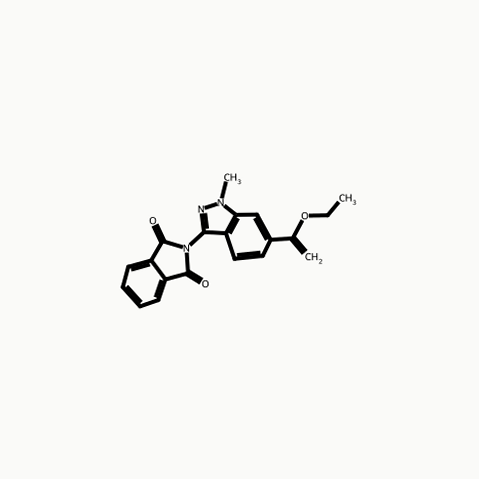 C=C(OCC)c1ccc2c(N3C(=O)c4ccccc4C3=O)nn(C)c2c1